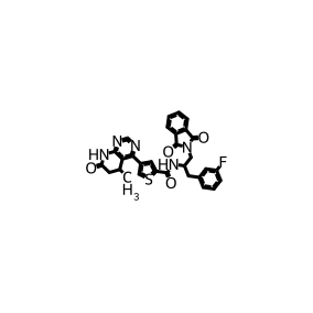 CC1CC(=O)Nc2ncnc(-c3csc(C(=O)NC(Cc4cccc(F)c4)CN4C(=O)c5ccccc5C4=O)c3)c21